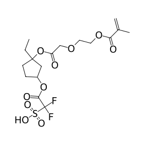 C=C(C)C(=O)OCCOCC(=O)OC1(CC)CCC(OC(=O)C(F)(F)S(=O)(=O)O)C1